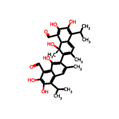 CC1=C(c2c(C)cc3c(C(C)C)c(O)c(O)c(C=O)c3c2O)[C@](C)(O)C2C(=C1)C(C(C)C)=C(O)C(O)=C2C=O